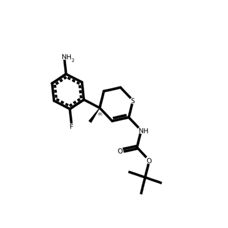 CC(C)(C)OC(=O)NC1=C[C@](C)(c2cc(N)ccc2F)CCS1